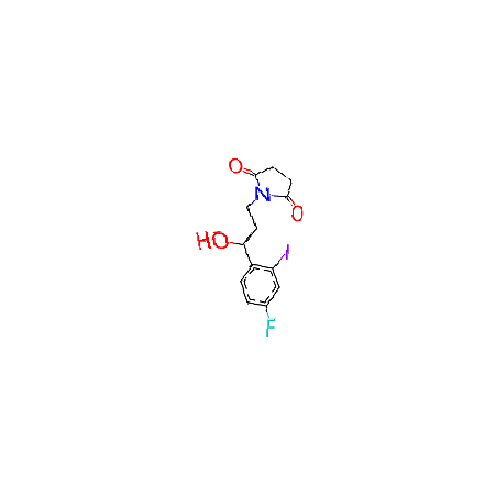 O=C1CCC(=O)N1CCC(O)c1ccc(F)cc1I